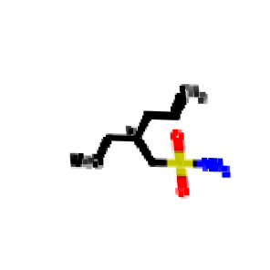 C=CC[C@H](COC)CS(N)(=O)=O